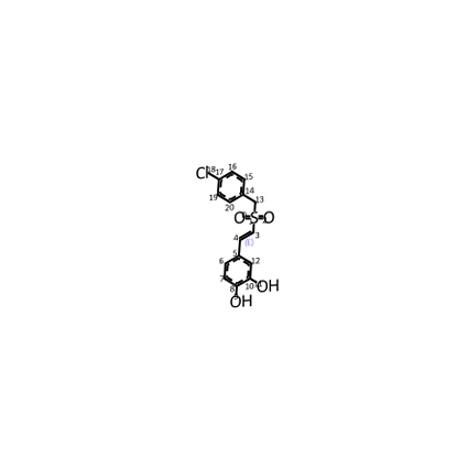 O=S(=O)(/C=C/c1ccc(O)c(O)c1)Cc1ccc(Cl)cc1